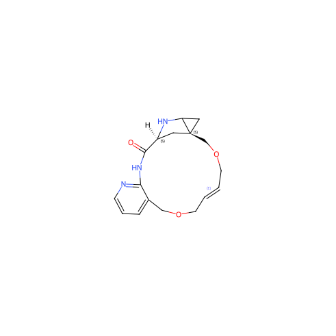 O=C1Nc2ncccc2COC/C=C/COC[C@]23CC2N[C@H]1C3